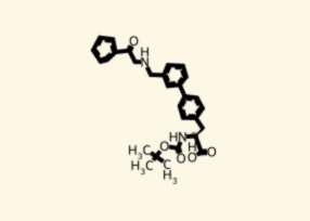 CC(C)(C)OC(=O)N[C@@H](Cc1ccc(-c2cccc(CNCC(=O)c3ccccc3)c2)cc1)C(=O)O